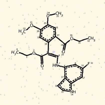 CCOC(=O)/C(=C\Nc1cc(F)cc2[nH]ccc12)c1cc(OC)c(OC)cc1C(=O)OCC